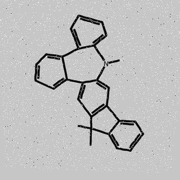 CN1c2ccccc2-c2ccccc2-c2cc3c(cc21)-c1ccccc1C3(C)C